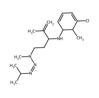 C=C(C)C(CCN(C)/N=N\C(C)C)NC1C=CC=C(Cl)C1C